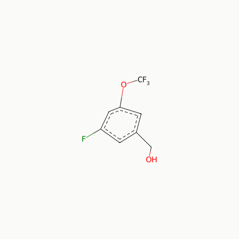 OCc1cc(F)cc(OC(F)(F)F)c1